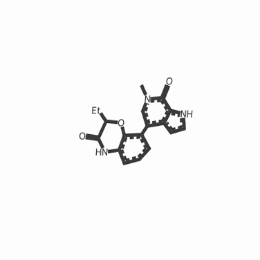 CCC1Oc2c(cccc2-c2cn(C)c(=O)c3[nH]ccc23)NC1=O